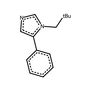 CC(C)(C)Cn1cncc1-c1ccccc1